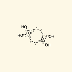 OC1C2CCC3OC(CCC(O2)C1O)C(O)C3O